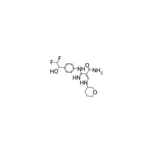 N=C(Nc1ccc(C(O)C(F)F)cc1)/C(=C\NC1CCCOC1)C(N)=O